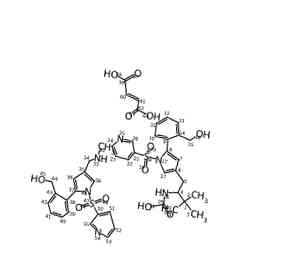 CC(C)(C)C(Cc1cc(-c2ccccc2CO)n(S(=O)(=O)c2cccnc2)c1)NC(=O)O.CNCc1cc(-c2ccccc2CO)n(S(=O)(=O)c2cccnc2)c1.O=C(O)C=CC(=O)O